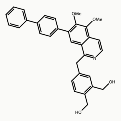 COc1c(-c2ccc(-c3ccccc3)cc2)cc2c(Cc3ccc(CO)c(CO)c3)nccc2c1OC